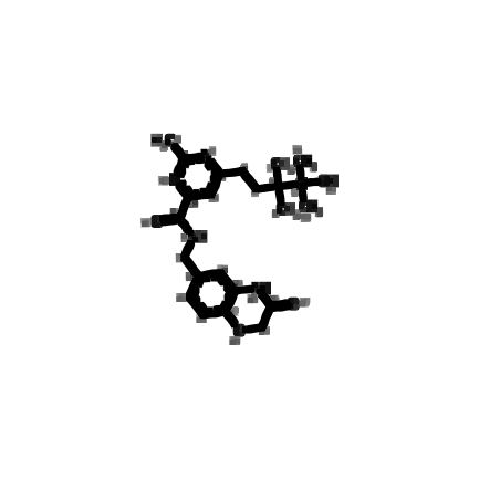 Cc1nc(CCC(C)(C)[Si](C)(C)O)cc(C(=O)NCc2ccc3c(c2)NC(=O)CO3)n1